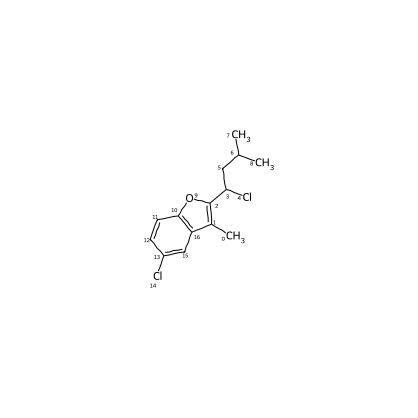 Cc1c(C(Cl)CC(C)C)oc2ccc(Cl)cc12